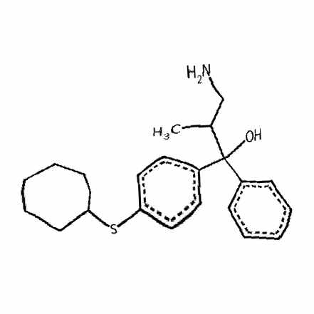 CC(CN)C(O)(c1ccccc1)c1ccc(SC2CCCCC2)cc1